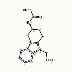 CCCCCCCCCC(=O)N[C@H]1CCc2c(c3ccccc3n2CC(=O)O)C1